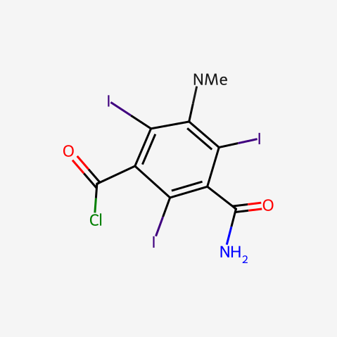 CNc1c(I)c(C(N)=O)c(I)c(C(=O)Cl)c1I